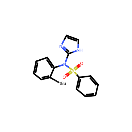 CC(C)(C)c1ccccc1N(c1ncc[nH]1)S(=O)(=O)c1ccccc1